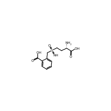 N=S(=O)(CC[C@H](N)C(=O)O)Cc1ccccc1C(=O)O